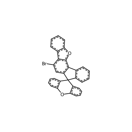 Brc1cc2c(c3oc4ccccc4c13)-c1ccccc1C21c2ccccc2Oc2ccccc21